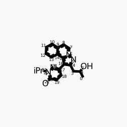 CC(O)Cc1nn2ccc3ccccc3c2c1-c1ccc(=O)n(C(C)C)n1